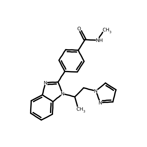 CNC(=O)c1ccc(-c2nc3ccccc3n2C(C)Cn2cccn2)cc1